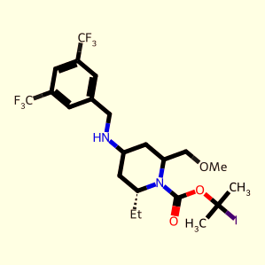 CC[C@@H]1CC(NCc2cc(C(F)(F)F)cc(C(F)(F)F)c2)CC(COC)N1C(=O)OC(C)(C)I